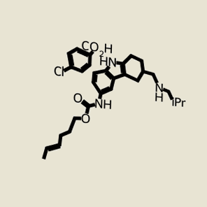 C/C=C/CCCOC(=O)Nc1ccc2[nH]c3c(c2c1)CC(CNCC(C)C)CC3.O=C(O)c1ccc(Cl)cc1